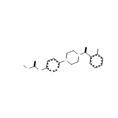 CCCCCNC(=O)Oc1ccc(N2CCN(C(=O)c3ccccc3C(F)(F)F)CC2)nn1